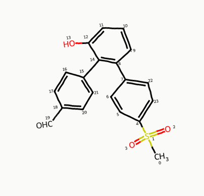 CS(=O)(=O)c1ccc(-c2[c]ccc(O)c2-c2ccc(C=O)cc2)cc1